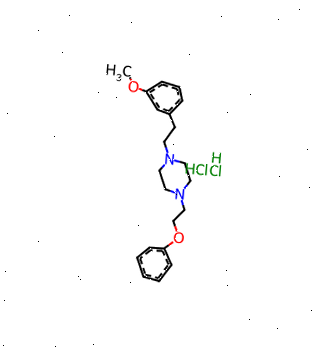 COc1cccc(CCN2CCN(CCOc3ccccc3)CC2)c1.Cl.Cl